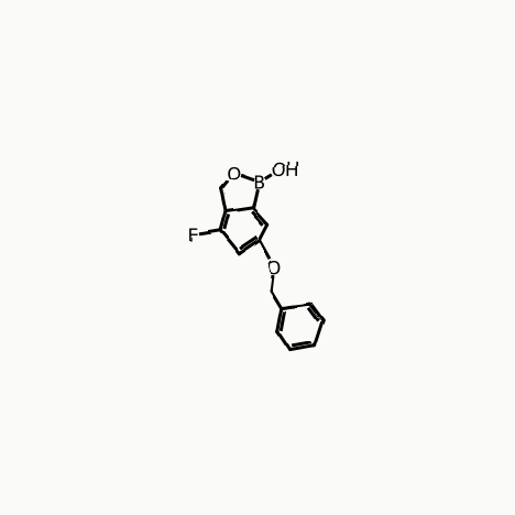 OB1OCc2c(F)cc(OCc3ccccc3)cc21